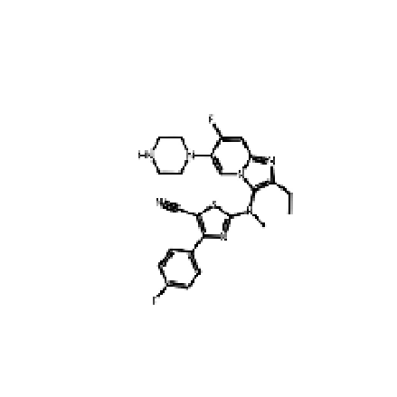 CCc1nc2cc(F)c(N3CCNCC3)cn2c1N(C)c1nc(-c2ccc(F)cc2)c(C#N)s1